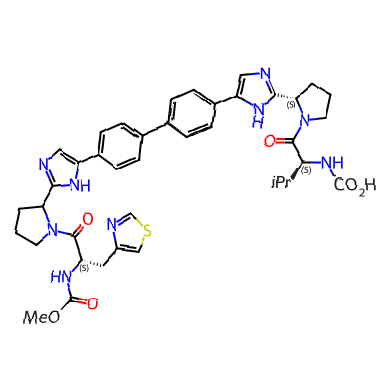 COC(=O)N[C@@H](Cc1cscn1)C(=O)N1CCCC1c1ncc(-c2ccc(-c3ccc(-c4cnc([C@@H]5CCCN5C(=O)[C@@H](NC(=O)O)C(C)C)[nH]4)cc3)cc2)[nH]1